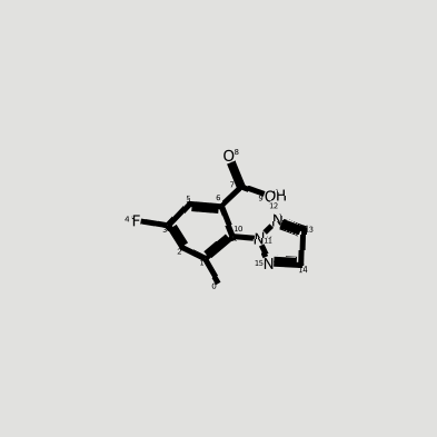 Cc1cc(F)cc(C(=O)O)c1-n1nccn1